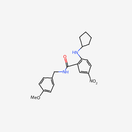 COc1ccc(CNC(=O)c2cc([N+](=O)[O-])ccc2NC2CCCC2)cc1